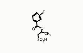 O=C(OC(CS(=O)(=O)O)C(F)(F)F)c1cccc(F)c1